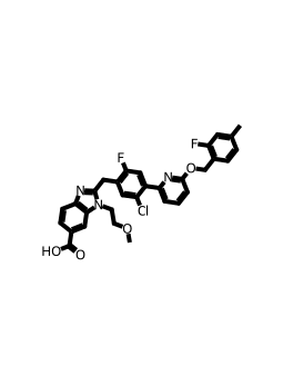 COCCn1c(Cc2cc(Cl)c(-c3cccc(OCc4ccc(C)cc4F)n3)cc2F)nc2ccc(C(=O)O)cc21